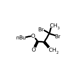 C=C(C(=O)OCCCC)C(C)(Br)Br